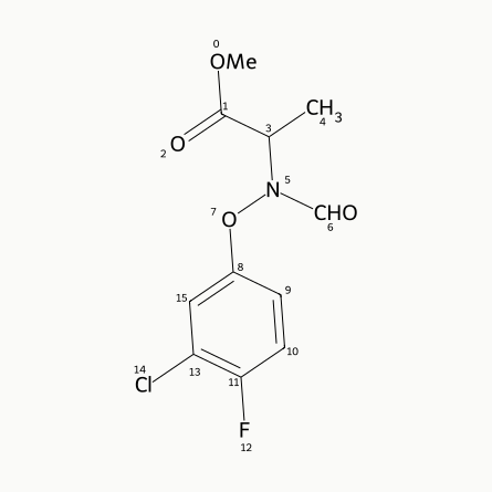 COC(=O)C(C)N(C=O)Oc1ccc(F)c(Cl)c1